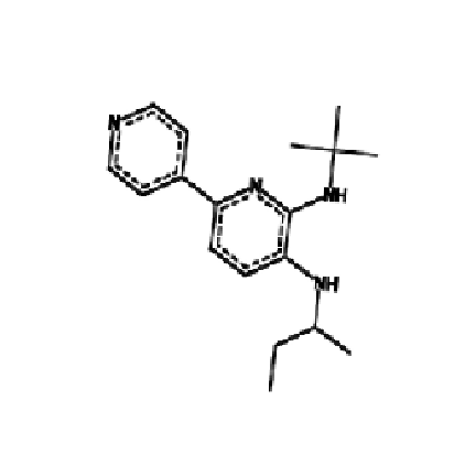 CCC(C)Nc1ccc(-c2ccncc2)nc1NC(C)(C)C